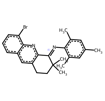 Cc1cc(C)c(/N=C2/c3nc4c(Br)cccc4cc3CCC2(C)C)c(C)c1